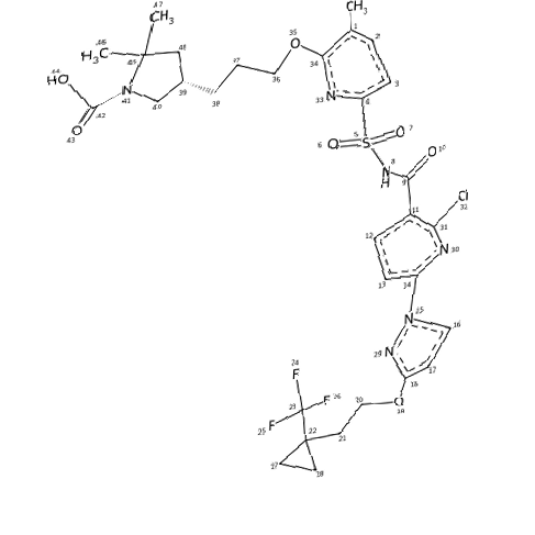 Cc1ccc(S(=O)(=O)NC(=O)c2ccc(-n3ccc(OCCC4(C(F)(F)F)CC4)n3)nc2Cl)nc1OCCC[C@@H]1CN(C(=O)O)C(C)(C)C1